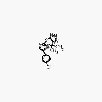 CC(C)(C)n1nnnc1Sc1nc(-c2ccc(Cl)cc2)cs1